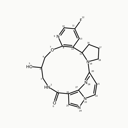 O=C1NCC(O)COc2ncc(F)cc2C2CCCN2c2ccn3ncc1c3n2